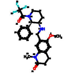 COc1cc2c(cc1CN[C@H]1CCCN(C(=O)C(F)(F)F)[C@H]1c1ccccc1)N(C)C(=O)CC2